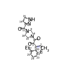 C/C=C(/C(=O)C(=O)N1CCN(C(=O)c2cc[nH]n2)CC1)c1c(F)cccc1CC